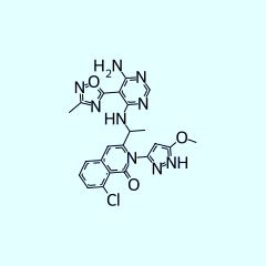 COc1cc(-n2c(C(C)Nc3ncnc(N)c3-c3nc(C)no3)cc3cccc(Cl)c3c2=O)n[nH]1